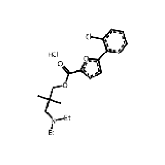 CCN(CC)CC(C)(C)COC(=O)c1ccc(-c2ccccc2Cl)o1.Cl